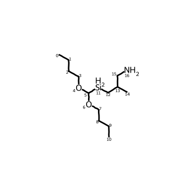 CCCCOC(OCCCC)[SiH2]CC(C)CN